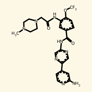 CN1CCN(CC(=O)Nc2cc(C(=O)Nc3cnc(-c4ccnc(N)c4)cn3)ccc2OC(F)(F)F)CC1